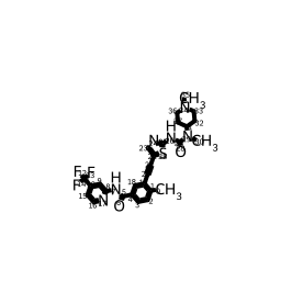 Cc1ccc(C(=O)Nc2cc(C(F)(F)F)ccn2)cc1C#Cc1cnc(NC(=O)N(C)C2CCN(C)CC2)s1